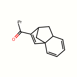 CC(C)C(=O)C1=CC23C=CC=CC2CC1C3